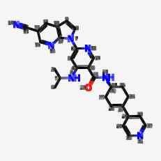 CC(C)Nc1cc(-n2ccc3cc(C#N)cnc32)ncc1C(=O)N[C@@H]1CC=C(c2ccncc2)CC1